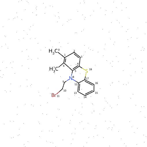 Cc1ccc2c(c1C)N(CCBr)c1ccccc1S2